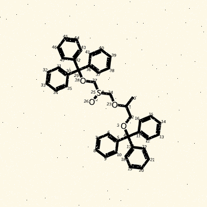 CC(COC(c1ccccc1)(c1ccccc1)c1ccccc1)OC[S+]([O-])COC(c1ccccc1)(c1ccccc1)c1ccccc1